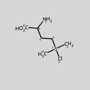 CS(C)(Cl)CCC(N)C(=O)O